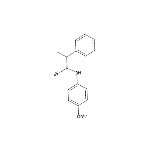 COc1ccc(BN(C(C)C)C(C)c2ccccc2)cc1